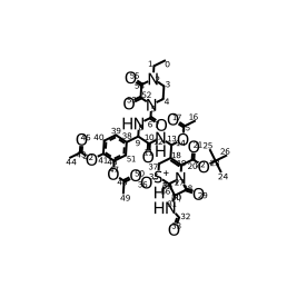 CCN1CCN(C(=O)NC(C(=O)NC(OC(C)=O)C2=C(C(=O)OC(C)(C)C)N3C(=O)[C@@H](NC=O)[C@H]3[S+]([O-])C2)c2ccc(OC(C)=O)c(OC(C)=O)c2)C(=O)C1=O